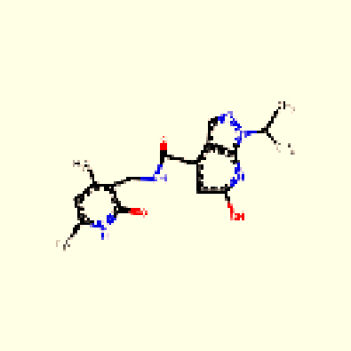 Cc1cc(C)c(CNC(=O)c2cc(O)nc3c2cnn3C(C)C)c(=O)[nH]1